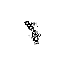 CC1(C)CN(C(=O)c2ncc(N3CCC4(CC3)Cc3ccccc3C4N)nc2N)Cc2scnc21